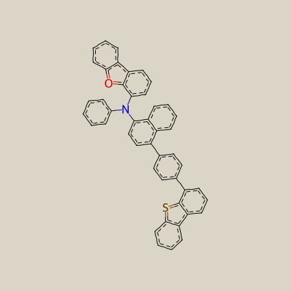 c1ccc(N(c2ccc(-c3ccc(-c4cccc5c4sc4ccccc45)cc3)c3ccccc23)c2cccc3c2oc2ccccc23)cc1